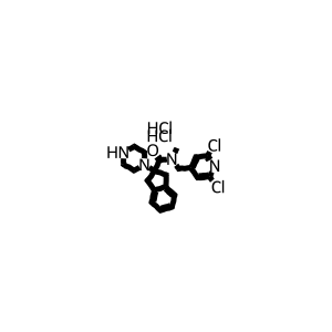 CN(Cc1cc(Cl)nc(Cl)c1)C(=O)C1(N2CCNCC2)Cc2ccccc2C1.Cl.Cl